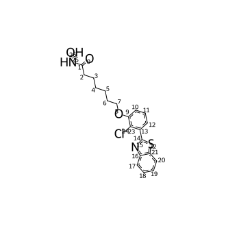 O=C(CCCCCCOc1cccc(-c2nc3ccccc3s2)c1Cl)NO